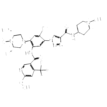 COc1cc(C(F)(F)F)c(C(=O)Nc2cc(-n3cc(C(=O)NC4CCN(C)CC4)nn3)c(F)cc2N2C[C@@H](C)N(C)[C@@H](C)C2)cn1